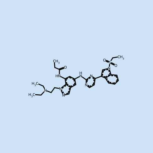 CCC(=O)Nc1cc(Nc2nccc(-c3cn(S(=O)(=O)CC)c4ccccc34)n2)cc2cnn(CCN(CC)CC)c12